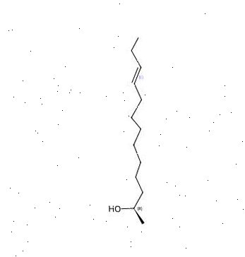 CC/C=C/CCCCCCC[C@@H](C)O